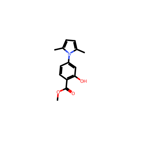 COC(=O)c1ccc(-n2c(C)ccc2C)cc1O